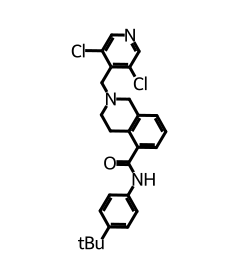 CC(C)(C)c1ccc(NC(=O)c2cccc3c2CCN(Cc2c(Cl)cncc2Cl)C3)cc1